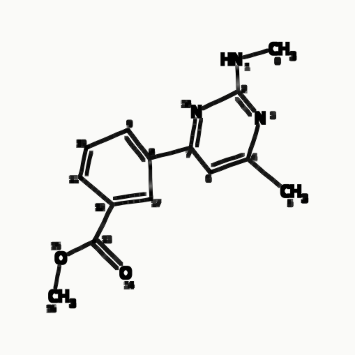 CNc1nc(C)cc(-c2cccc(C(=O)OC)c2)n1